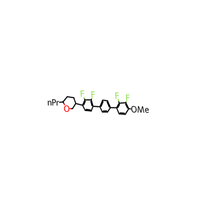 CCCC1CCC(c2ccc(-c3ccc(-c4ccc(OC)c(F)c4F)cc3)c(F)c2F)CO1